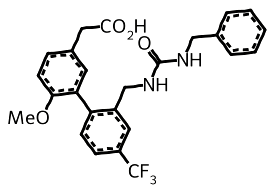 COc1ccc(CC(=O)O)cc1-c1ccc(C(F)(F)F)cc1CNC(=O)NCc1ccccc1